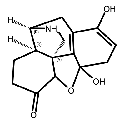 O=C1CC[C@H]2[C@H]3CC4=C5C(O)(CC=C4O)OC1[C@]52CCN3